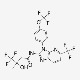 CC(O)(CC(=O)Nc1nc2ccc(C(F)(F)F)nc2n1-c1ccc(OC(F)(F)F)cc1)C(F)(F)F